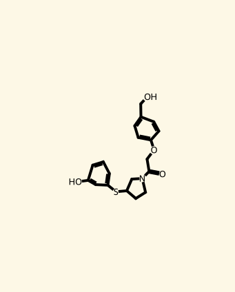 O=C(COc1ccc(CO)cc1)N1CCC(Sc2cccc(O)c2)C1